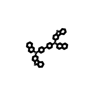 c1ccc2cc(N(c3ccc(-c4ccc(N(c5ccc6ccccc6c5)c5ccc6sc7ccccc7c6c5)cc4)cc3)c3ccc4sc5ccccc5c4c3)ccc2c1